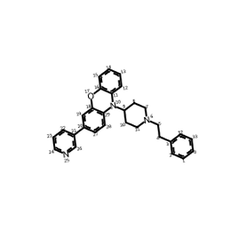 c1ccc(CCN2CCC(N3c4ccccc4Oc4cc(-c5cccnc5)ccc43)CC2)cc1